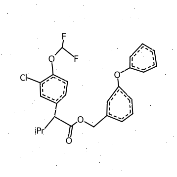 CC(C)C(C(=O)OCc1cccc(Oc2ccccc2)c1)c1ccc(OC(F)F)c(Cl)c1